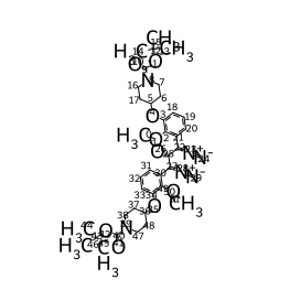 COc1c(OC2CCN(C(=O)OC(C)(C)C)CC2)cccc1C(=[N+]=[N-])C(=O)C(=[N+]=[N-])c1cccc(OC2CCN(C(=O)OC(C)(C)C)CC2)c1OC